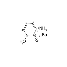 CC(C)(C)N.On1ccccc1=S